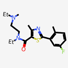 CCN(C)CCN(CC)C(=O)c1sc(-c2cc(F)ccc2C)nc1C